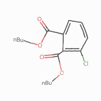 CCCCOC(=O)c1cccc(Cl)c1C(=O)OCCCC